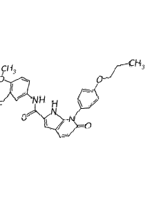 CCCOc1ccc(-n2c(=O)ccc3cc(C(=O)Nc4ccc(OC)c(F)c4)[nH]c32)cc1